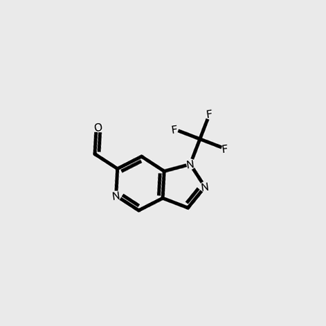 O=Cc1cc2c(cn1)cnn2C(F)(F)F